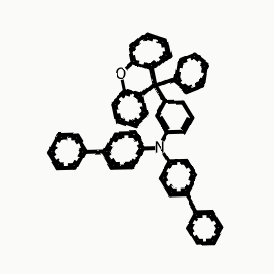 C1=CC(N(c2ccc(-c3ccccc3)cc2)c2ccc(-c3ccccc3)cc2)=CC(C2(c3ccccc3)c3ccccc3Oc3ccccc32)C1